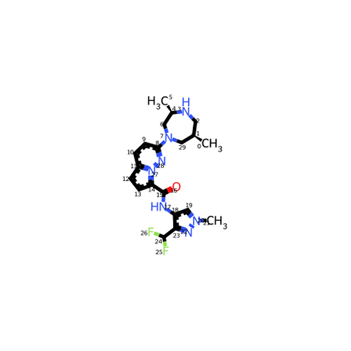 C[C@@H]1CN[C@H](C)CN(c2ccc3ccc(C(=O)Nc4cn(C)nc4C(F)F)n3n2)C1